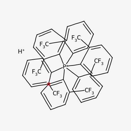 FC(F)(F)c1ccccc1[P-](c1ccccc1C(F)(F)F)(c1ccccc1C(F)(F)F)(c1ccccc1C(F)(F)F)(c1ccccc1C(F)(F)F)c1ccccc1C(F)(F)F.[H+]